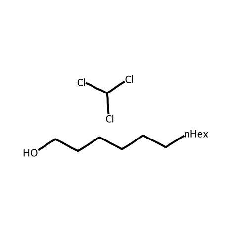 CCCCCCCCCCCCO.ClC(Cl)Cl